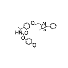 COc1ccc(OC(=O)NC(C)c2ccc(OCCc3nc(-c4ccccc4)sc3C)cc2)cc1